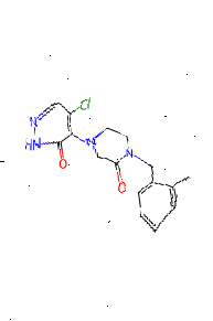 Cc1ccccc1CN1CCN(c2c(Cl)cn[nH]c2=O)CC1=O